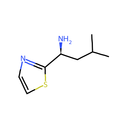 CC(C)C[C@H](N)c1nccs1